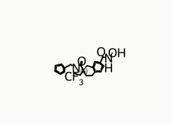 O=C(NO)c1ccc2c(c1)C[C@@]1(CC2)CCN(Cc2ccccc2C(F)(F)F)C1=O